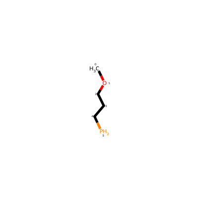 COCCCP